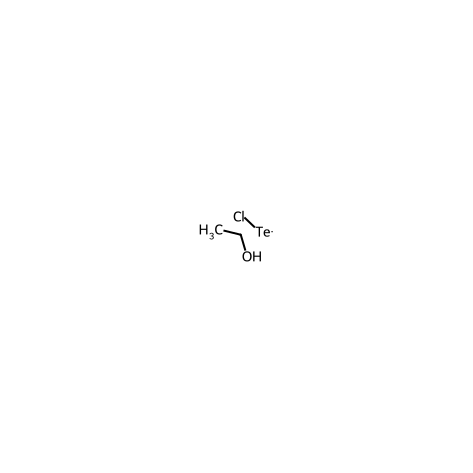 CCO.Cl[Te]